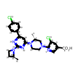 C[C@@H]1CN(c2ncc(C(=O)O)cc2Cl)CCN1c1cc(-c2ccc(Cl)cc2)nc(N2CC[C@@H]2C)n1